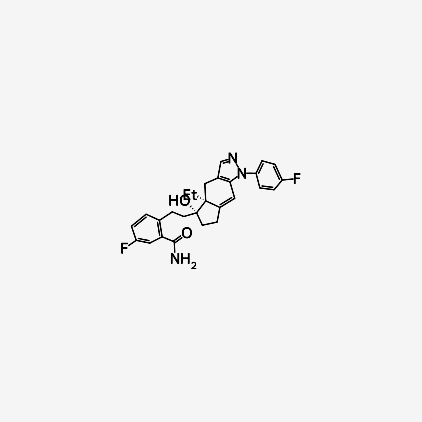 CC[C@]12Cc3cnn(-c4ccc(F)cc4)c3C=C1CC[C@@]2(O)CCc1ccc(F)cc1C(N)=O